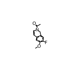 COc1cc2c(cc1F)CN(C(C)=O)C=C2